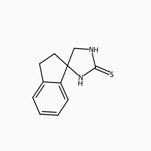 S=C1NCC2(CCc3ccccc32)N1